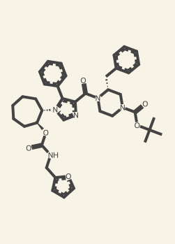 CC(C)(C)OC(=O)N1CCN(C(=O)c2ncn([C@H]3CCCCC[C@@H]3OC(=O)NCc3ccco3)c2-c2ccccc2)[C@H](Cc2ccccc2)C1